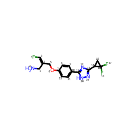 NC/C(=C\F)COc1ccc(-c2nc(C3CC3(F)F)n[nH]2)cc1